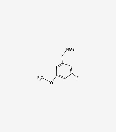 CNCc1cc(F)cc(OC(F)(F)F)c1